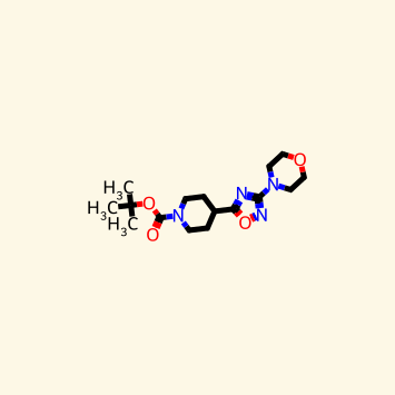 CC(C)(C)OC(=O)N1CCC(c2nc(N3CCOCC3)no2)CC1